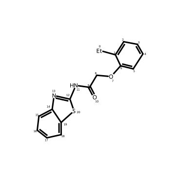 CCc1ccccc1OCC(=O)Nc1nc2ccccc2s1